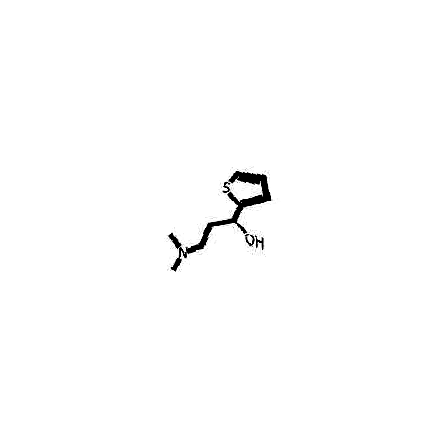 CN(C)CC[C@H](O)c1cccs1